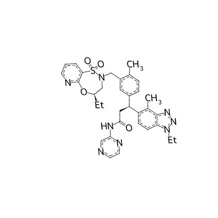 CC[C@@H]1CN(Cc2cc([C@H](CC(=O)Nc3cnccn3)c3ccc4c(nnn4CC)c3C)ccc2C)S(=O)(=O)c2cccnc2O1